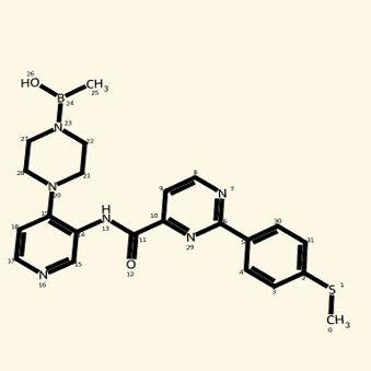 CSc1ccc(-c2nccc(C(=O)Nc3cnccc3N3CCN(B(C)O)CC3)n2)cc1